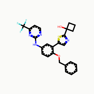 OC1(c2ncc(-c3cc(Nc4nccc(C(F)(F)F)n4)ccc3OCc3ccccc3)s2)CCC1